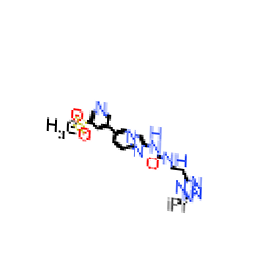 CC(C)n1nnc(CCNC(=O)Nc2cn3cc(-c4cncc(S(C)(=O)=O)c4)ccc3n2)n1